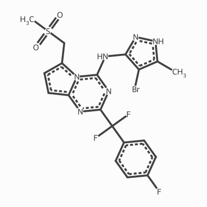 Cc1[nH]nc(Nc2nc(C(F)(F)c3ccc(F)cc3)nc3ccc(CS(C)(=O)=O)n23)c1Br